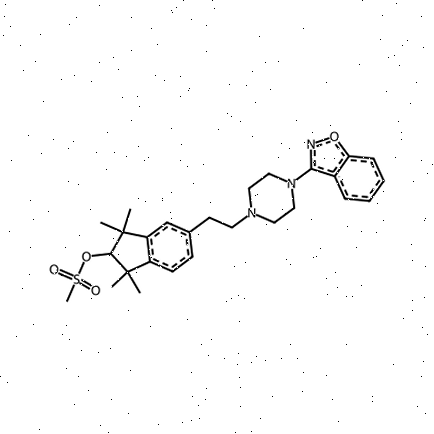 CC1(C)c2ccc(CCN3CCN(c4noc5ccccc45)CC3)cc2C(C)(C)C1OS(C)(=O)=O